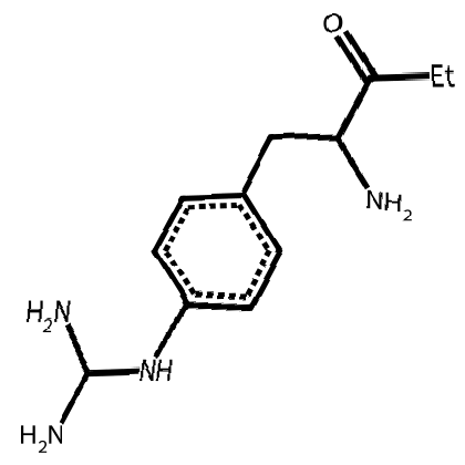 CCC(=O)C(N)Cc1ccc(NC(N)N)cc1